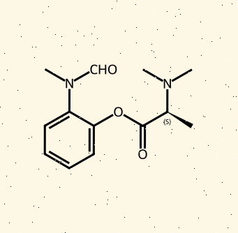 C[C@@H](C(=O)Oc1ccccc1N(C)C=O)N(C)C